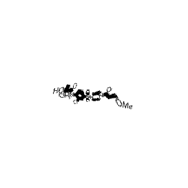 COCCC(=O)N1CCN(S(=O)(=O)c2ccc(NC(=O)[C@@](C)(O)C(F)(F)F)c(Cl)c2)CC1